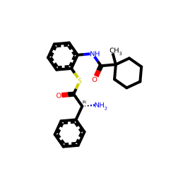 CC1(C(=O)Nc2ccccc2SC(=O)[C@H](N)c2ccccc2)CCCCC1